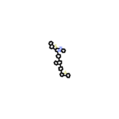 c1ccc2c(c1)ccc1c3cc(-c4ccc(-c5ccc(-c6ccc(-c7cccc8c7sc7ccccc78)cc6)c6ccccc56)cc4)n4c5ccccc5nc4c3sc21